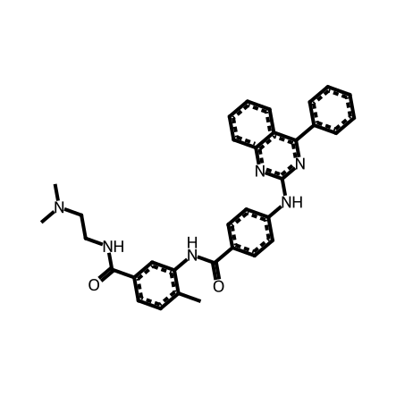 Cc1ccc(C(=O)NCCN(C)C)cc1NC(=O)c1ccc(Nc2nc(-c3ccccc3)c3ccccc3n2)cc1